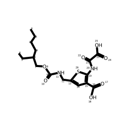 CCCCC(CC)COC(=O)NCc1cc(C(=O)O)c(NC(=O)C(=O)O)s1